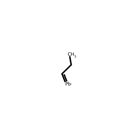 CC[CH]=[Pb]